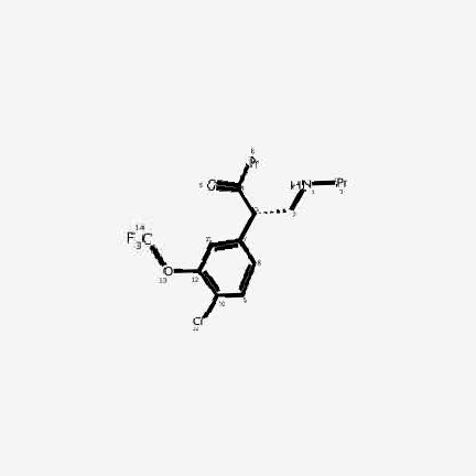 CC(C)NC[C@@H](C(=O)C(C)C)c1ccc(Cl)c(OC(F)(F)F)c1